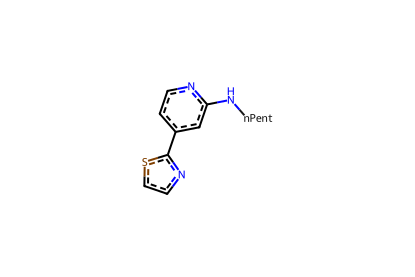 CCCCCNc1cc(-c2nccs2)ccn1